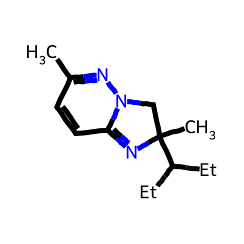 CCC(CC)C1(C)CN2N=C(C)C=CC2=N1